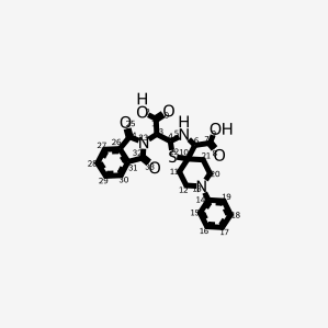 O=C(O)C(C1NC(C(=O)O)C2(CCN(c3ccccc3)CC2)S1)N1C(=O)c2ccccc2C1=O